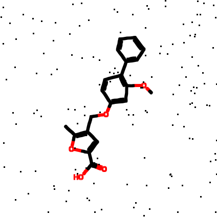 COc1cc(OCc2cc(C(=O)O)oc2C)ccc1-c1ccccc1